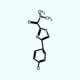 CN(C)C(=O)c1nc(-c2ccc(Cl)cc2)cs1